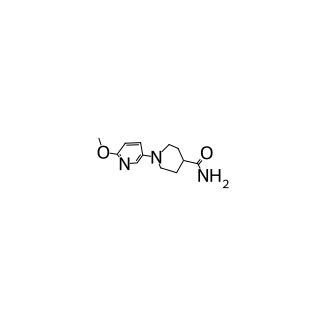 COc1ccc(N2CCC(C(N)=O)CC2)cn1